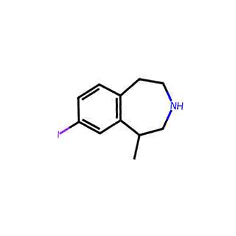 CC1CNCCc2ccc(I)cc21